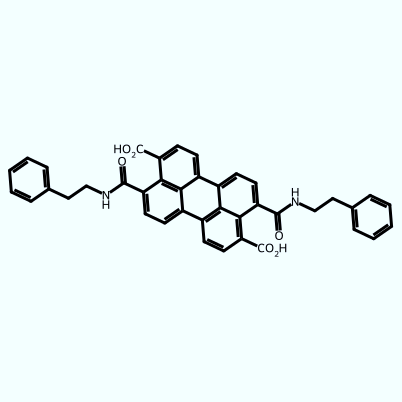 O=C(O)c1ccc2c3ccc(C(=O)NCCc4ccccc4)c4c(C(=O)O)ccc(c5ccc(C(=O)NCCc6ccccc6)c1c25)c43